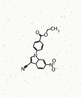 CCOC(=O)c1ccc(N2C=C(C#N)C3C=CC([N+](=O)[O-])=CC32)cc1